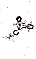 CC(C)n1c(=O)n(C(=O)N[C@H]2C[C@H]3CC[C@@H](C2)N3CCCOC(=O)N2CCC(OC(=O)N(C)C)CC2)c2ccccc21